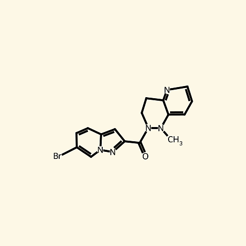 CN1c2cccnc2CCN1C(=O)c1cc2ccc(Br)cn2n1